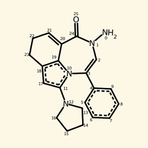 NN1C=C(c2ccccc2)n2c(N3CCCC3)cc3c2C(=CCC3)C1=O